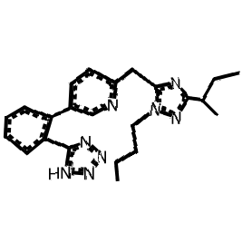 CCCCn1nc(C(C)CC)nc1Cc1ccc(-c2ccccc2-c2nnn[nH]2)cn1